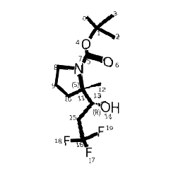 CC(C)(C)OC(=O)N1CCC[C@@]1(C)[C@H](O)CC(F)(F)F